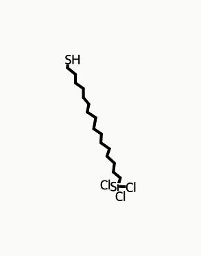 SCCCCCCCCCCCCCCCC[Si](Cl)(Cl)Cl